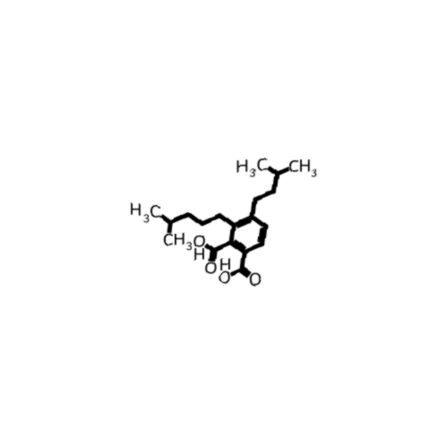 CC(C)CCCc1c(CCC(C)C)ccc(C(=O)O)c1C(=O)O